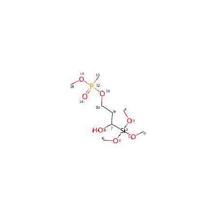 CO[Si](OC)(OC)C(O)CCOP(C)(=O)OC